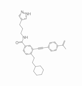 C=C(C)c1ccc(C#Cc2cc(C(=O)NCCCc3cn[nH]c3)ccc2CCC2CCCCC2)cc1